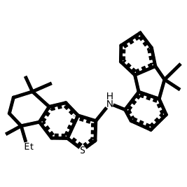 CCC1(C)CCC(C)(C)c2cc3c(Nc4cccc5c4-c4ccccc4C5(C)C)csc3cc21